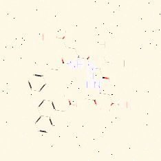 CC(C)C(NC(=O)C(CCC(=O)O)NC(=O)CCc1ccccc1)C(=O)NC(CC(=O)O)C(=O)COC(=O)Cc1cccc2ccccc12